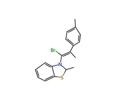 C/C(=C(/Br)N1c2ccccc2SC1C)c1ccc(C)cc1